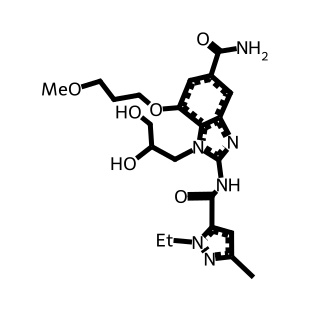 CCn1nc(C)cc1C(=O)Nc1nc2cc(C(N)=O)cc(OCCCOC)c2n1CC(O)CO